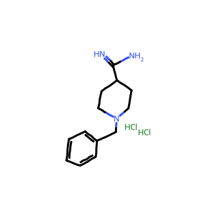 Cl.Cl.N=C(N)C1CCN(Cc2ccccc2)CC1